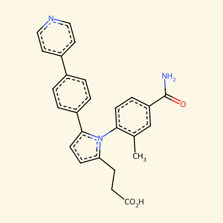 Cc1cc(C(N)=O)ccc1-n1c(CCC(=O)O)ccc1-c1ccc(-c2ccncc2)cc1